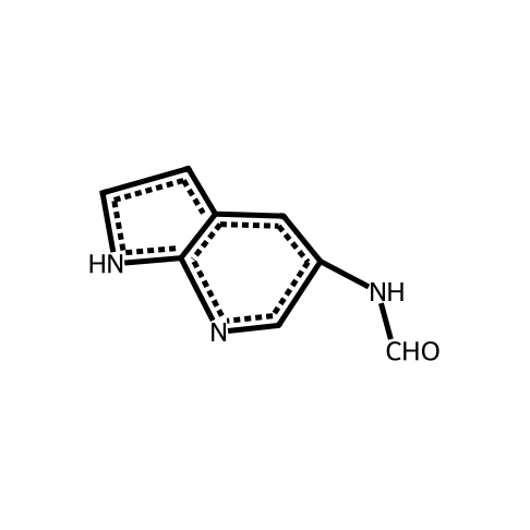 O=CNc1cnc2[nH]ccc2c1